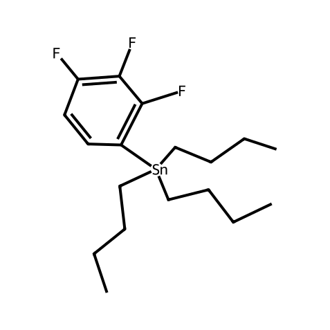 CCC[CH2][Sn]([CH2]CCC)([CH2]CCC)[c]1ccc(F)c(F)c1F